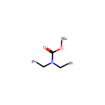 CC(C)CN(CC(C)C)C(=O)OC(C)(C)C